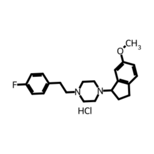 COc1ccc2c(c1)C(N1CCN(CCc3ccc(F)cc3)CC1)CC2.Cl